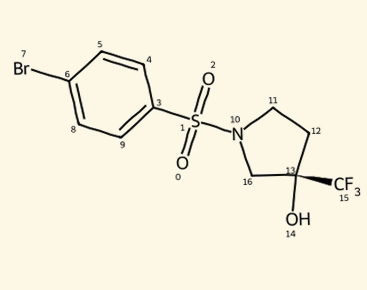 O=S(=O)(c1ccc(Br)cc1)N1CC[C@@](O)(C(F)(F)F)C1